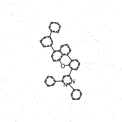 c1ccc(-c2cccc(-c3ccc4c5c(cccc35)-c3cccc(-c5cc(-c6ccccc6)nc(-c6ccccc6)n5)c3O4)c2)cc1